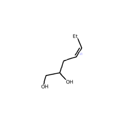 CC/C=C\CC(O)CO